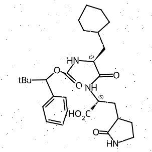 CC(C)(C)C(OC(=O)N[C@@H](CC1CCCCC1)C(=O)N[C@@H](CC1CCNC1=O)C(=O)O)c1ccccc1